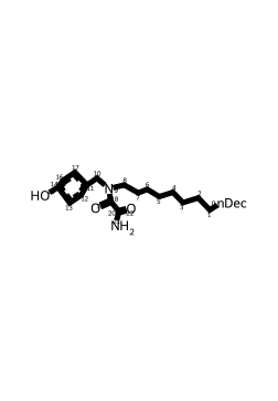 CCCCCCCCCCCCCCCCCCN(Cc1ccc(O)cc1)C(=O)C(N)=O